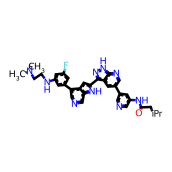 CC(C)CC(=O)Nc1cncc(-c2cnc3[nH]nc(-c4cc5c(-c6cc(F)cc(NCCN(C)C)c6)cncc5[nH]4)c3c2)c1